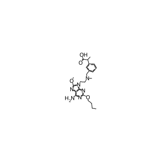 CCCCOc1nc(N)c2nc(OC)n(CCN(C)Cc3cccc(C(C)C(=O)O)c3)c2n1